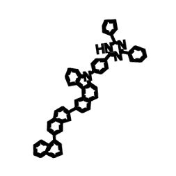 c1ccc(C2=NC(c3ccccc3)NC(c3ccc(-n4c5ccccc5c5c6cc(-c7ccc8ccc(-c9cccc%10ccccc9%10)cc8c7)ccc6ccc54)cc3)=N2)cc1